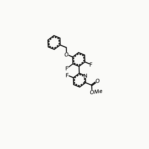 COC(=O)c1ccc(F)c(-c2c(F)ccc(OCc3ccccc3)c2F)n1